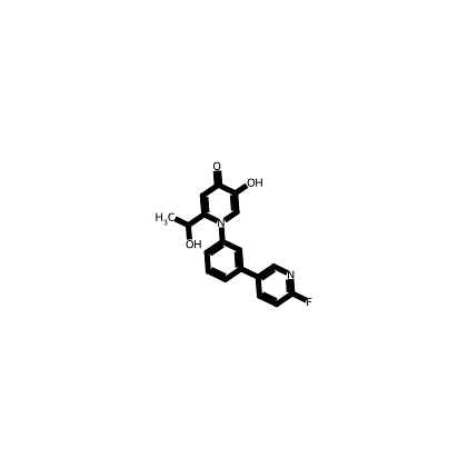 CC(O)c1cc(=O)c(O)cn1-c1cccc(-c2ccc(F)nc2)c1